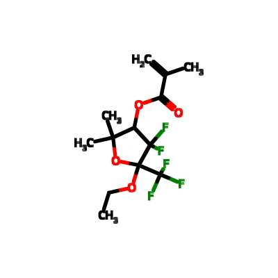 C=C(C)C(=O)OC1C(C)(C)OC(OCC)(C(F)(F)F)C1(F)F